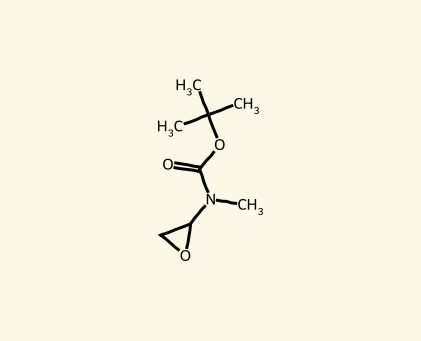 CN(C(=O)OC(C)(C)C)C1CO1